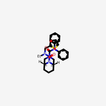 CCN(Cc1cccs1)C(=O)N1[C@@H]2CCC[C@H]1CN(C(=O)N(c1ccccc1)c1ccccc1)C2